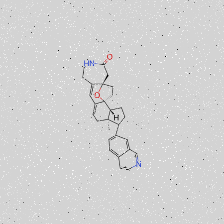 C[C@]12CC=C3C=C4CCNC(=O)C[C@]45CC[C@]3(O5)[C@@H]1CCC2c1ccc2ccncc2c1